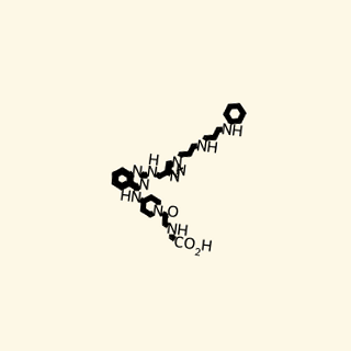 O=C(O)CNCC(=O)N1CCC(Nc2nc(NCc3cn(CCCNCCCNC4CCCCC4)nn3)nc3ccccc23)CC1